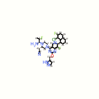 C=C(F)C(N)N1CCN(c2nc(OCc3ccn[nH]3)nc3c(F)c(-c4cccc5ccc(F)c(Cl)c45)ncc23)C[C@@H]1CC#N